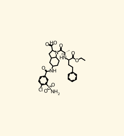 CCOC(=O)C(CCc1ccccc1)N[C@@H](C)C(=O)N1C(C(=O)O)CC2CC(NC(=O)c3ccc(Cl)c(S(N)(=O)=O)c3)CCC21